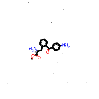 COC(=O)[C@@H](N)Cc1ccccc1C(=O)c1ccc(N)cc1